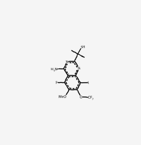 COc1c(OC(F)(F)F)c(I)c2nc(C(C)(C)S)nc(N)c2c1F